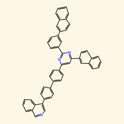 c1cc(-c2ccc3ccccc3c2)cc(-c2nc(-c3ccc(-c4ccc(-c5cncc6ccccc56)cc4)cc3)cc(-c3ccc4ccccc4c3)n2)c1